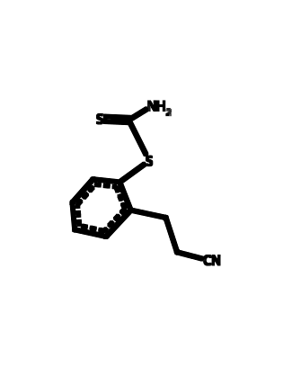 N#CCCc1ccccc1SC(N)=S